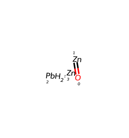 [O]=[Zn].[PbH2].[Zn]